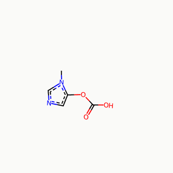 Cn1cncc1OC(=O)O